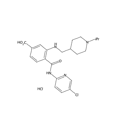 CC(C)N1CCC(CNc2cc(C(=O)O)ccc2C(=O)Nc2ccc(Cl)cn2)CC1.Cl